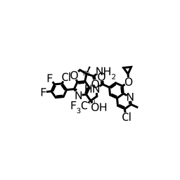 Cc1nc2c(OC3CC3)cc(C(=O)NC[C@](O)(c3cc4c(c(-c5ccc(F)c(F)c5Cl)n3)OC[C@]4(C)C(N)=O)C(F)(F)F)cc2cc1Cl